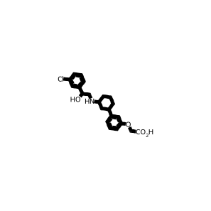 O=C(O)COc1cccc(C2CCCC(NCC(O)c3cccc(Cl)c3)C2)c1